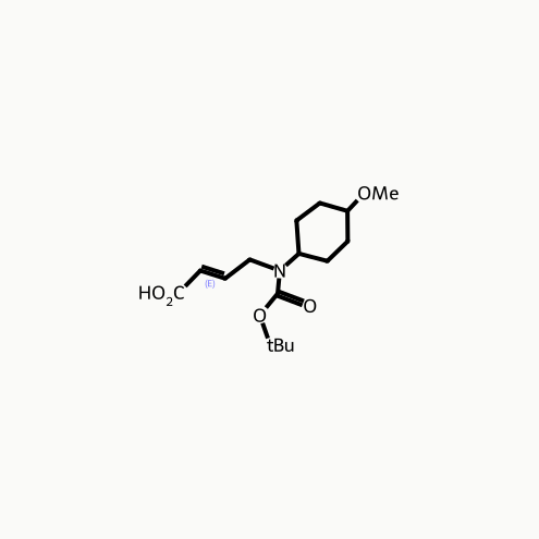 COC1CCC(N(C/C=C/C(=O)O)C(=O)OC(C)(C)C)CC1